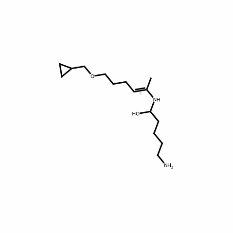 C/C(=C\CCCOCC1CC1)NC(O)CCCCN